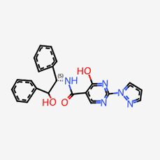 O=C(N[C@@H](c1ccccc1)C(O)c1ccccc1)c1cnc(-n2cccn2)nc1O